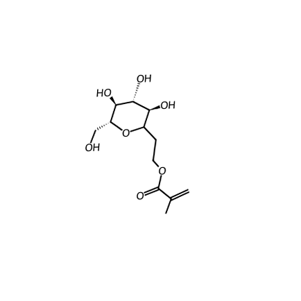 C=C(C)C(=O)OCCC1O[C@H](CO)[C@@H](O)[C@H](O)[C@H]1O